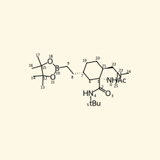 CC(=O)N[C@]1(C(=O)NC(C)(C)C)C[C@H](CCB2OC(C)(C)C(C)(C)O2)CC[C@H]1CN(C)C